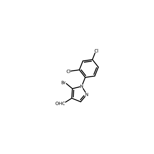 O=Cc1cnn(-c2ccc(Cl)cc2Cl)c1Br